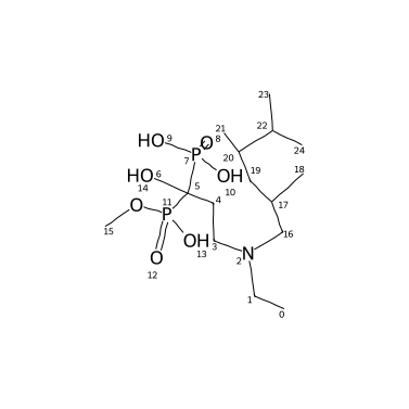 CCN(CCC(O)(P(=O)(O)O)P(=O)(O)OC)CC(C)CC(C)C(C)C